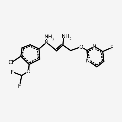 N/C(=C\N(N)c1ccc(Cl)c(OC(F)F)c1)COc1nccc(F)n1